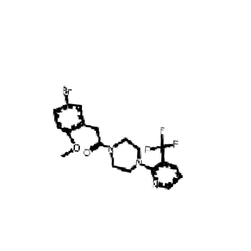 COc1ccc(Br)cc1CC(=O)N1CCN(c2ncccc2C(F)(F)F)CC1